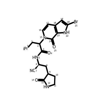 CC(C)CC(C(=O)N[C@H](C#N)CC1CCNC1=O)n1ccc2cc(Br)[nH]c2c1=O